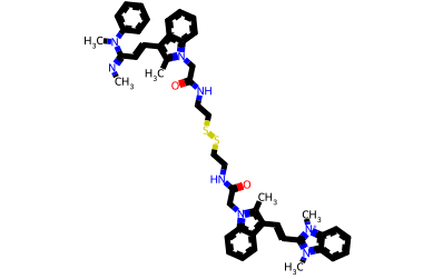 C/N=C(\C=C\c1c(C)n(CC(=O)NCCSSCCNC(=O)Cn2c(C)c(/C=C/c3n(C)c4ccccc4[n+]3C)c3ccccc32)c2ccccc12)N(C)c1ccccc1